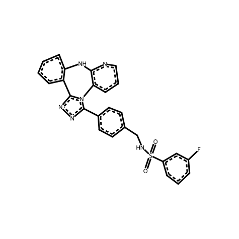 O=S(=O)(NCc1ccc(-c2nnc3n2-c2cccnc2Nc2ccccc2-3)cc1)c1cccc(F)c1